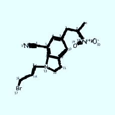 CC(Cc1cc(C#N)c2c(c1)CCN2CCCBr)[N+](=O)[O-]